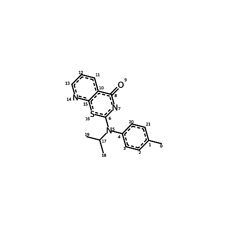 Cc1ccc(N(c2nc(=O)c3cccnc3s2)C(C)C)cc1